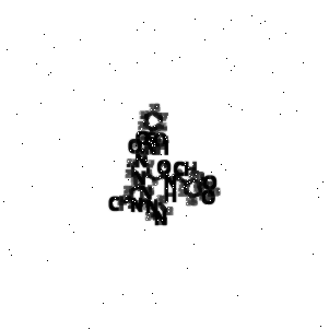 CC(NC(=O)CC1CN(C(=O)NS(=O)(=O)c2ccccc2)CCN1c1cc(Cl)nc(-n2ccnc2)n1)c1ccc2c(c1)OCO2